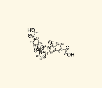 O=C(CO)c1ccc([S+]([O-])N2CCC3(CC2)OCCN3S(=O)(=O)c2ccc(C(=O)CO)cc2)cc1